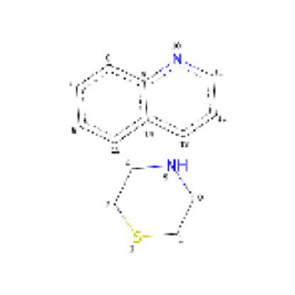 C1CSCCN1.c1ccc2ncccc2c1